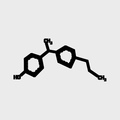 CCCc1ccc(C(C)c2ccc(O)cc2)cc1